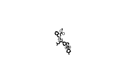 CCOC(=O)CCN(Cc1ccccc1)c1nc(-c2ccc3c(ccn3S(=O)(=O)c3ccc(C)cc3)c2)c(CC(C)C)s1